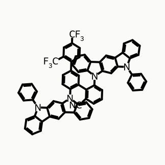 N#Cc1cccc(-n2c3ccccc3c3cc4c5ccccc5n(-c5ccccc5)c4cc32)c1-c1cc(-c2ccc(C(F)(F)F)cc2C(F)(F)F)ccc1-n1c2ccccc2c2cc3c4ccccc4n(-c4ccccc4)c3cc21